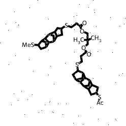 CSC1CC2CC1C1C3CC(C4CC(SCCC(=O)OCC(C)(C)COC(=O)CCSC5CC6CC5C5C7CC(C8CC(SC(C)=O)CC87)C65)CC43)C21